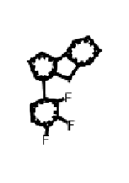 Fc1ccc(-c2cccc3c2[CH]c2ccccc2-3)c(F)c1F